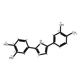 Cc1ccc(-c2cnc(-c3ccc(O)c(O)c3)[nH]2)cc1O